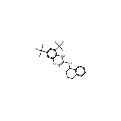 Nc1cc(C(F)(F)F)cc(C(F)(F)F)c1NC(=S)NC1CCCc2ccccc21